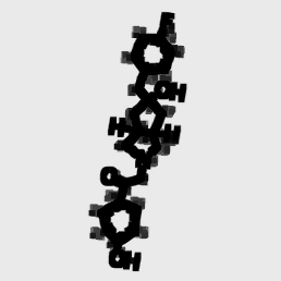 O=C(CN1C[C@@H]2CC(O)(Cc3ccc(F)cc3)C[C@@H]2C1)c1ccc(O)cc1